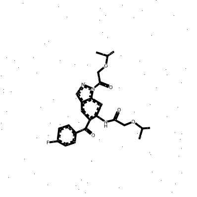 CC(C)OCC(=O)Nc1cc2c(cnn2C(=O)COC(C)C)cc1C(=O)c1ccc(F)cc1